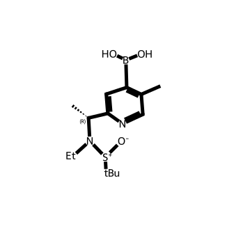 CCN([C@H](C)c1cc(B(O)O)c(C)cn1)[S+]([O-])C(C)(C)C